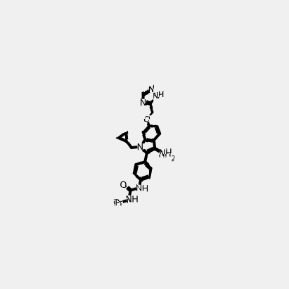 CC(C)NC(=O)Nc1ccc(-c2c(N)c3ccc(OCc4ncn[nH]4)cc3n2CC2CC2)cc1